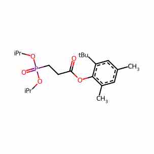 Cc1cc(C)c(OC(=O)CCP(=O)(OC(C)C)OC(C)C)c(C(C)(C)C)c1